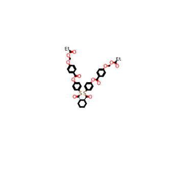 CCC(=O)OCOc1ccc(C(=O)Oc2ccc(SC(=O)[C@H]3CCCC[C@@H]3C(=O)Sc3ccc(OC(=O)c4ccc(OCOC(=O)CC)cc4)cc3)cc2)cc1